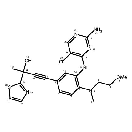 COCCN(C)c1ccc(C#CC(C)(O)c2nccs2)cc1Nc1nc(N)ncc1Cl